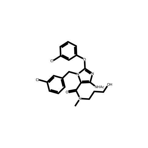 CC(=O)Nc1nc(Oc2cccc(Cl)c2)n(Cc2cccc(Cl)c2)c1C(=O)N(C)CCCO